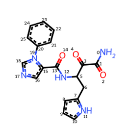 NC(=O)C(=O)C(Cc1ccc[nH]1)NC(=O)c1cncn1-c1ccccc1